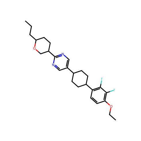 CCCC1CCC(c2ncc(C3CCC(c4ccc(OCC)c(F)c4F)CC3)cn2)CO1